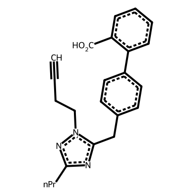 C#CCCn1nc(CCC)nc1Cc1ccc(-c2ccccc2C(=O)O)cc1